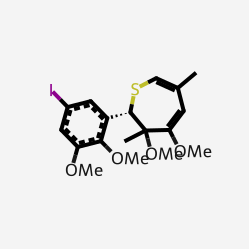 COC1=CC(C)=CS[C@@H](c2cc(I)cc(OC)c2OC)C1(C)OC